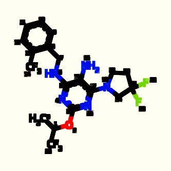 CC(Oc1nc(NCc2ccccc2C(F)(F)F)c(N)c(N2CCC(F)(F)C2)n1)C(F)(F)F